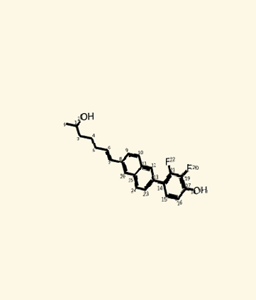 CC(O)CCCC=Cc1ccc2cc(-c3ccc(O)c(F)c3F)ccc2c1